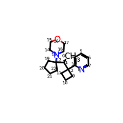 C[C](C1(c2ccccn2)CCC1)C1(N2CCOCC2)CCCC1